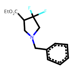 CCOC(=O)C1CN(Cc2ccccc2)CC1(F)F